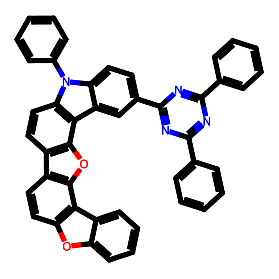 c1ccc(-c2nc(-c3ccccc3)nc(-c3ccc4c(c3)c3c5oc6c(ccc7oc8ccccc8c76)c5ccc3n4-c3ccccc3)n2)cc1